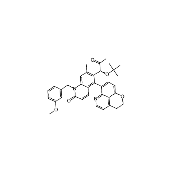 COc1cccc(Cn2c(=O)ccc3c(-c4ccc5c6c(ccnc46)CCO5)c([C@H](OC(C)(C)C)C(C)=O)c(C)cc32)c1